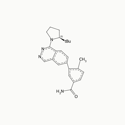 Cc1ccc(C(N)=O)cc1-c1ccc2c(N3CCC[C@H]3C(C)(C)C)nncc2c1